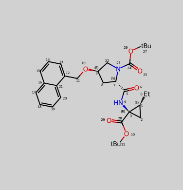 CC[C@H]1C[C@]1(NC(=O)[C@@H]1C[C@@H](OCc2cccc3ccccc23)CN1C(=O)OC(C)(C)C)C(=O)OC(C)(C)C